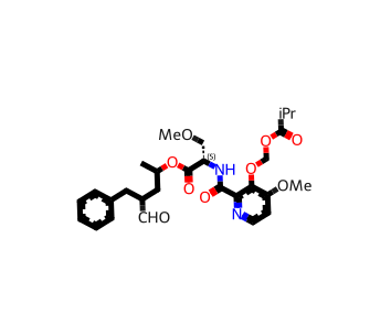 COC[C@H](NC(=O)c1nccc(OC)c1OCOC(=O)C(C)C)C(=O)OC(C)CC(C=O)Cc1ccccc1